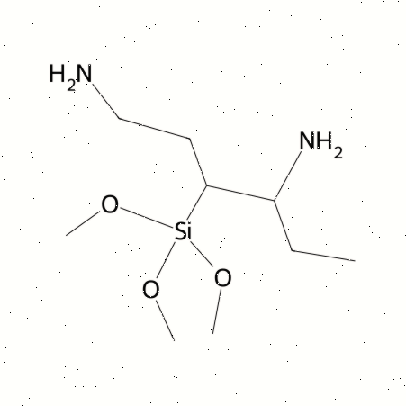 CCC(N)C(CCN)[Si](OC)(OC)OC